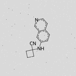 N#CC1(Nc2ccc3ccncc3c2)CCC1